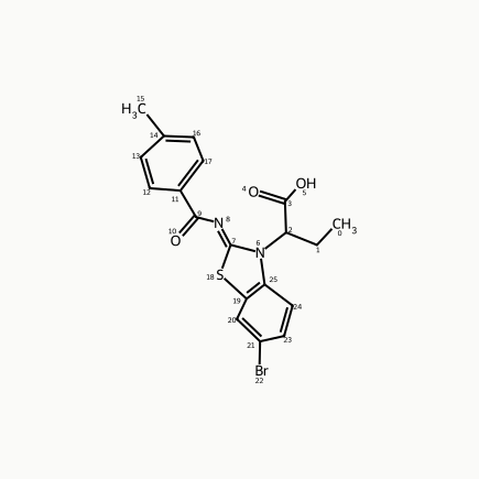 CCC(C(=O)O)n1c(=NC(=O)c2ccc(C)cc2)sc2cc(Br)ccc21